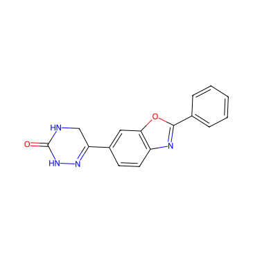 O=C1NCC(c2ccc3nc(-c4ccccc4)oc3c2)=NN1